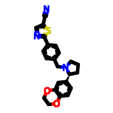 N#Cc1cnc(-c2ccc(CN3CCC[C@@H]3c3ccc4c(c3)OCCO4)cc2)s1